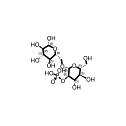 O=P(O)(O)O[C@H]1[C@H](OC[C@H]2O[C@@H](O)[C@H](O)[C@@H](O)[C@@H]2O)O[C@H](CO)[C@@H](O)[C@@H]1O